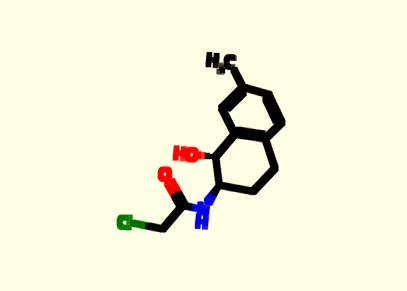 Cc1ccc2c(c1)[C@@H](O)[C@H](NC(=O)CCl)CC2